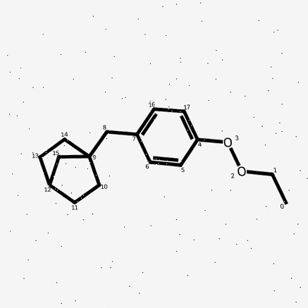 CCOOc1ccc(CC23CCC(CC2)C3)cc1